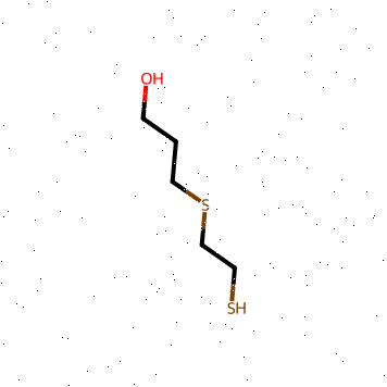 OCCCSCCS